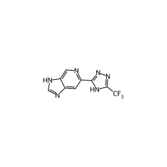 FC(F)(F)c1nnc(-c2cc3nc[nH]c3cn2)[nH]1